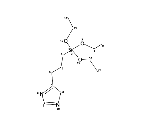 CCO[Si](CCCC1=NC=NC1)(OCC)OCC